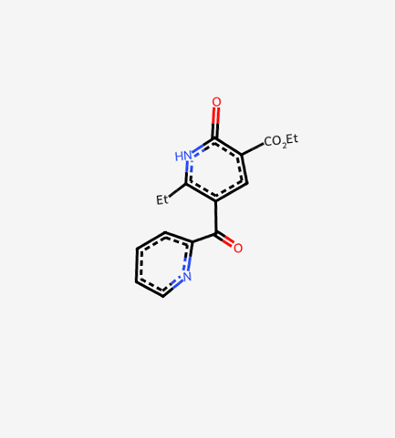 CCOC(=O)c1cc(C(=O)c2ccccn2)c(CC)[nH]c1=O